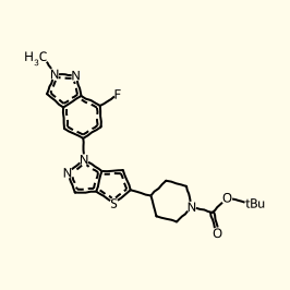 Cn1cc2cc(-n3ncc4sc(C5CCN(C(=O)OC(C)(C)C)CC5)cc43)cc(F)c2n1